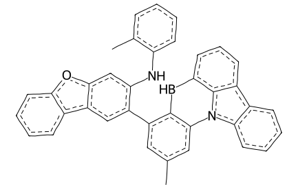 Cc1cc(-c2cc3c(cc2Nc2ccccc2C)oc2ccccc23)c2c(c1)-n1c3ccccc3c3cccc(c31)B2